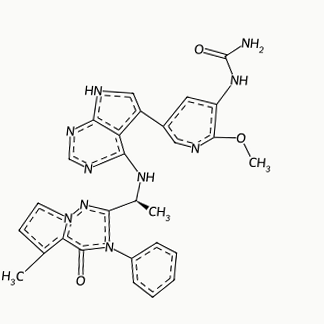 COc1ncc(-c2c[nH]c3ncnc(N[C@@H](C)c4nn5ccc(C)c5c(=O)n4-c4ccccc4)c23)cc1NC(N)=O